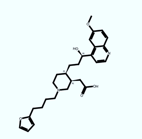 COc1ccc2nccc([C@H](O)CC[C@@H]3CCN(CCCCc4ccco4)C[C@@H]3CC(=O)O)c2c1